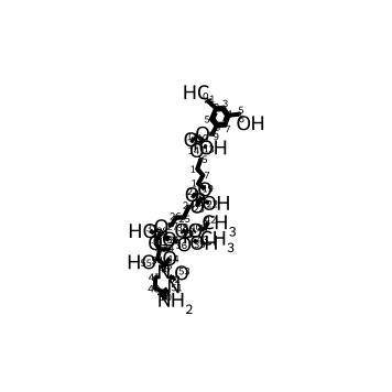 C#Cc1cc(CO)cc(COP(=O)(O)OCCCCOP(=O)(O)OCCCCOP(=O)(O)OC2[C@@H](COP(=O)(O)OC(C)C)O[C@@H](N3CCC(N)=NC3=O)[C@H]2O)c1